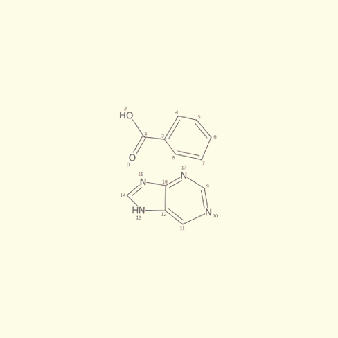 O=C(O)c1ccccc1.c1ncc2[nH]cnc2n1